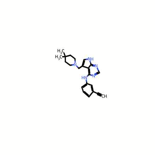 C#Cc1cccc(Nc2ncnc3[nH]cc(CN4CCC(C)(C)CC4)c23)c1